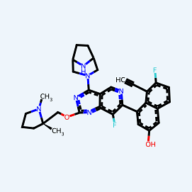 C#Cc1c(F)ccc2cc(O)cc(-c3ncc4c(N5CC6CCC(C5)N6)nc(OC[C@]5(C)CCCN5C)nc4c3F)c12